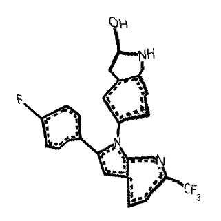 OC1Cc2cc(-n3c(-c4ccc(F)cc4)cc4ccc(C(F)(F)F)nc43)ccc2N1